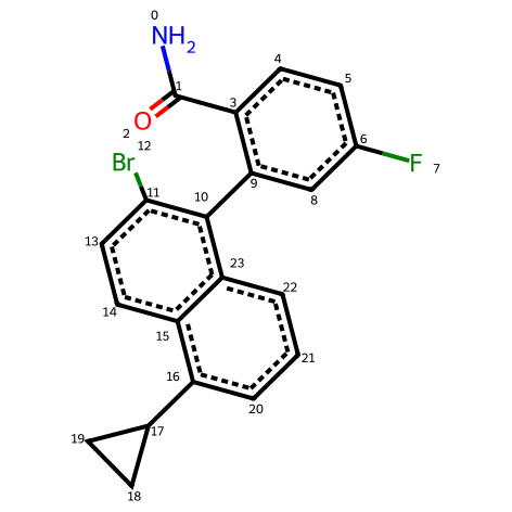 NC(=O)c1ccc(F)cc1-c1c(Br)ccc2c(C3CC3)cccc12